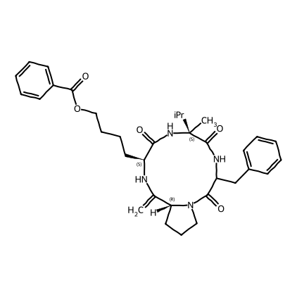 C=C1N[C@@H](CCCCOC(=O)c2ccccc2)C(=O)N[C@@](C)(C(C)C)C(=O)NC(Cc2ccccc2)C(=O)N2CCC[C@H]12